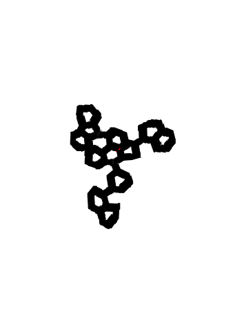 c1cc(-c2cccc3ccccc23)cc(N(c2ccc(-c3cccc4ccccc34)cc2)c2ccccc2-c2ccccc2-n2c3ccccc3c3ccccc32)c1